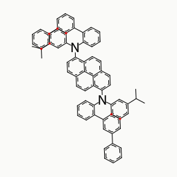 CC(C)c1cccc(N(c2ccccc2-c2cccc(-c3ccccc3)c2)c2ccc3ccc4c(N(c5cccc(C(C)C)c5)c5ccccc5-c5cccc(-c6ccccc6)c5)ccc5ccc2c3c54)c1